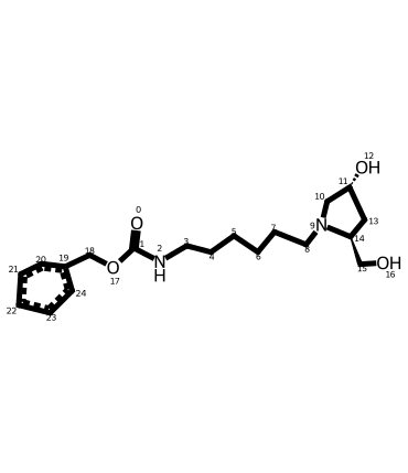 O=C(NCCCCCCN1C[C@H](O)C[C@H]1CO)OCc1ccccc1